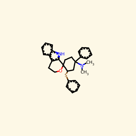 CN(C)C1(c2ccccc2)CCC2(OCCc3c2[nH]c2ccccc32)C(Sc2ccccc2)C1